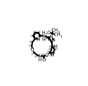 CC(C)(C)n1nc2cc1Nc1cccc(n1)CCOCCNC(=O)O[C@@H]1CC[C@H]2C1